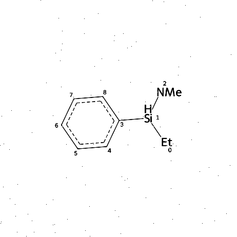 CC[SiH](NC)c1ccccc1